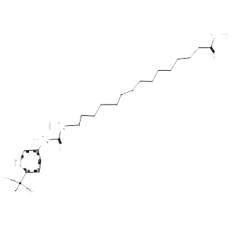 O=C(O)CCCCCCCCCCCCCCNC(=O)Nc1ccc(C(F)(F)F)nc1